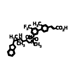 Cc1cc(C=CC(=O)O)ccc1-c1cc(C(F)(F)F)cc(S(=O)(=O)N(C)C[C@H](O)CNC(C)(C)CC2Cc3ccccc3C2)c1